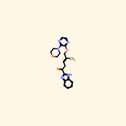 C/C(=C\CC(=O)c1nc2ccccc2[nH]1)COc1nccnc1N1CCOCC1